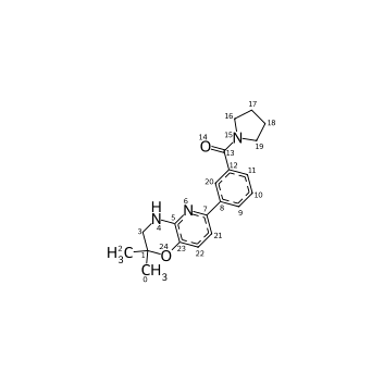 CC1(C)CNc2nc(-c3cccc(C(=O)N4CCCC4)c3)ccc2O1